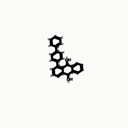 OC1c2ccccc2C(O)c2c(-c3ccc(-c4ccccc4)cc3)cccc21